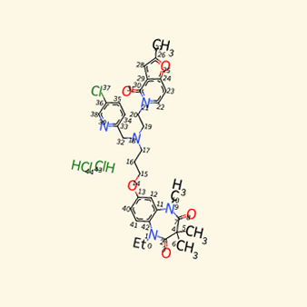 CCN1C(=O)C(C)(C)C(=O)N(C)c2cc(OCCCN(CCn3ccc4oc(C)cc4c3=O)Cc3ccc(Cl)cn3)ccc21.Cl.Cl